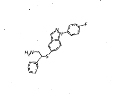 NCC(Sc1ccc2c(cnn2-c2ccc(F)cc2)c1)c1ccccc1